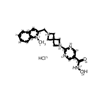 Cl.Cn1c(CN2CC3(C2)CN(c2ncc(C(=O)NO)cn2)C3)cc2ccccc21